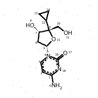 Nc1ccn([C@@H]2C[C@H](O)[C@](CO)(C3CC3)O2)c(=O)n1